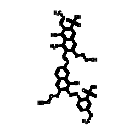 CN=Nc1c(S(=O)(=O)O)cc2cc(SOOO)c(N=Nc3ccc4cc(SOOO)c(N=Nc5ccc(OC)cc5S(=O)(=O)O)c(O)c4c3)c(N)c2c1O